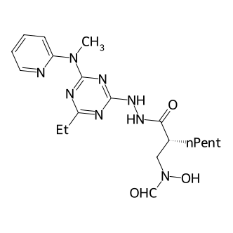 CCCCC[C@H](CN(O)C=O)C(=O)NNc1nc(CC)nc(N(C)c2ccccn2)n1